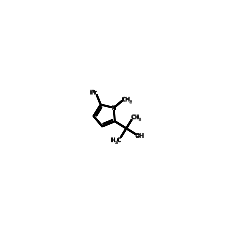 CC(C)c1ccc(C(C)(C)O)n1C